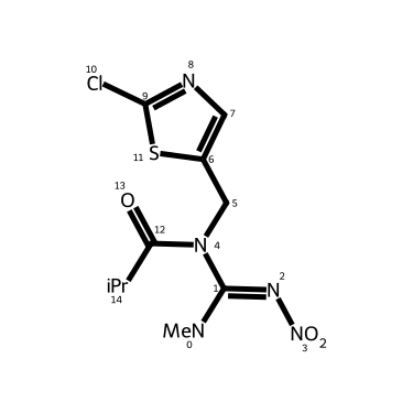 CNC(=N[N+](=O)[O-])N(Cc1cnc(Cl)s1)C(=O)C(C)C